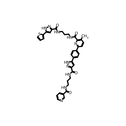 Cc1ccc(-c2ccc(-c3cc(C(=O)NCCCNC(=O)c4cccnc4)n[nH]3)cc2)nc1C(=O)NCCCNC(=O)c1cc(-c2cccs2)[nH]n1